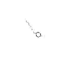 CCCC/[C]=N/OCc1ccc(C)cc1